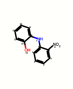 O=[N+]([O-])c1ccccc1Nc1ccccc1O